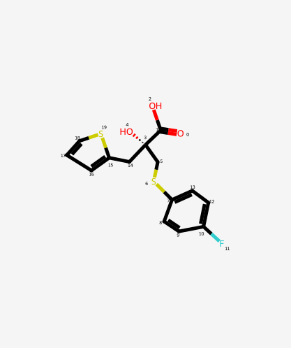 O=C(O)[C@@](O)(CSc1ccc(F)cc1)Cc1cccs1